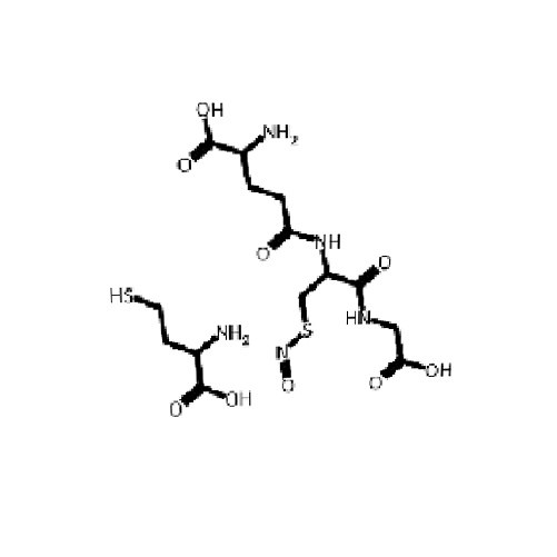 NC(CCC(=O)NC(CSN=O)C(=O)NCC(=O)O)C(=O)O.NC(CCS)C(=O)O